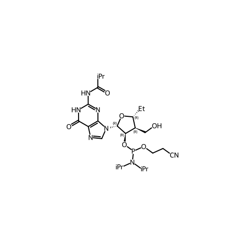 CC[C@H]1O[C@@H](n2cnc3c(=O)[nH]c(NC(=O)C(C)C)nc32)[C@H](OP(OCCC#N)N(C(C)C)C(C)C)[C@@H]1CO